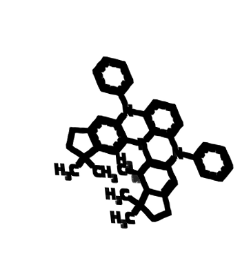 C[C@H]1C2=C(C=C3CCC(C)(C)C31)N(c1ccccc1)c1cccc3c1B2c1cc2c(cc1N3c1ccccc1)CCC2(C)C